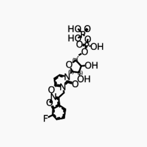 O=c1ccn([C@@H]2O[C@H](COP(=O)(O)OP(=O)(O)O)C(O)[C@@H]2O)c(=O)n1Cc1noc2c(F)cccc12